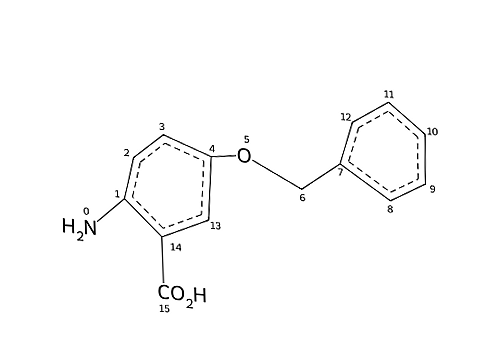 Nc1ccc(OCc2ccccc2)cc1C(=O)O